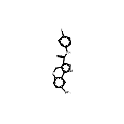 Nc1ccc2c(c1)-c1[nH]nc(C(=O)Nc3ccc(F)cc3)c1CO2